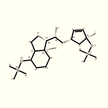 C[C@H](C[C@@H]1C=C[C@@](C)(O[Si](C)(C)C)C1)[C@H]1CCC2C(O[Si](C)(C)C)CCC[C@@]21C